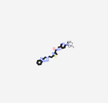 CN(C)c1ccc(CNC(=O)c2csc(CCNCc3nc4ccccc4[nH]3)n2)cn1